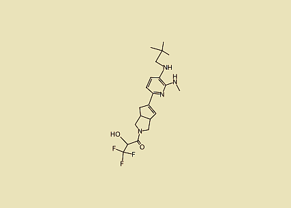 CNc1nc(C2=CC3CN(C(=O)C(O)C(F)(F)F)CC3C2)ccc1NCC(C)(C)C